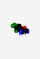 O=C(N[C@H]1CN2CCC1CC2)[C@H](Cc1ccc(Br)cc1)NC(=O)C1(c2ccc(Cl)cc2Cl)CC1